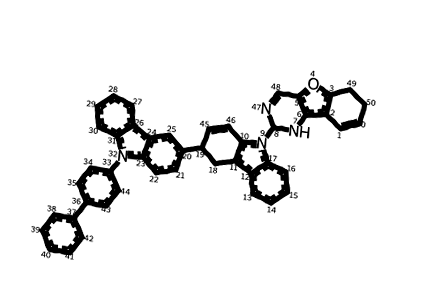 C1=Cc2c(oc3c2NC(n2c4c(c5ccccc52)CC(c2ccc5c(c2)c2ccccc2n5-c2ccc(-c5ccccc5)cc2)C=C4)N=C3)CC1